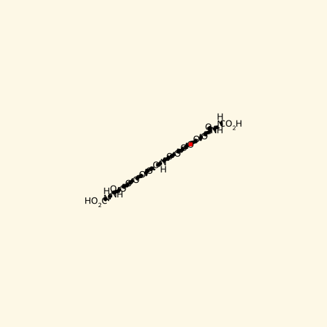 O=C(O)NCCNC(=O)CCOCCOCCOCCOCCOCCOCCNCCOCCOCCOCCOCCOCCOCCC(=O)NCCNC(=O)O